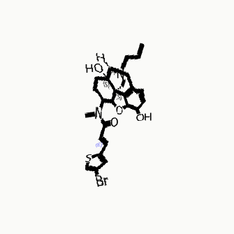 C=CCN1CC[C@]23c4c5ccc(O)c4OC2C(N(C)C(=O)/C=C/c2cc(Br)cs2)CC[C@@]3(O)[C@H]1C5